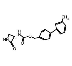 Cc1cccc(-c2ccc(COC(=O)N[C@H]3CNC3=O)cc2)c1